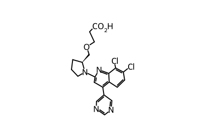 O=C(O)CCOC[C@@H]1CCCN1c1cc(-c2cncnc2)c2ccc(Cl)c(Cl)c2n1